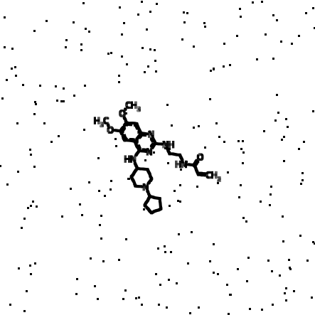 C=CC(=O)NCCNc1nc(NC2CCN(C3CCCC3)CC2)c2cc(OC)c(OC)cc2n1